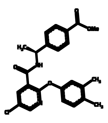 COC(=O)c1ccc([C@H](C)NC(=O)c2cc(Cl)cnc2Oc2ccc(C)c(C)c2)cc1